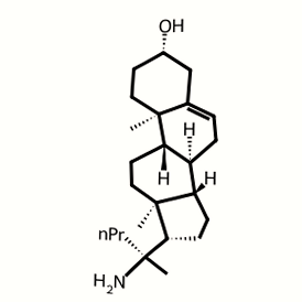 CCC[C@](C)(N)[C@H]1CC[C@H]2[C@@H]3CC=C4C[C@@H](O)CC[C@]4(C)[C@H]3CC[C@@]21C